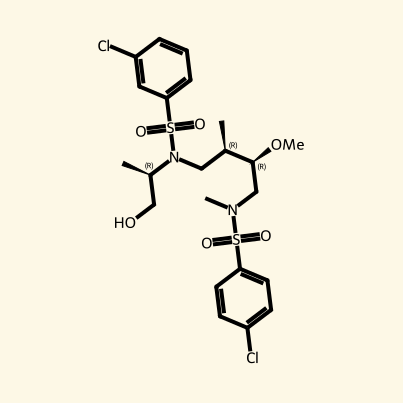 CO[C@@H](CN(C)S(=O)(=O)c1ccc(Cl)cc1)[C@H](C)CN([C@H](C)CO)S(=O)(=O)c1cccc(Cl)c1